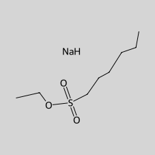 CCCCCCS(=O)(=O)OCC.[NaH]